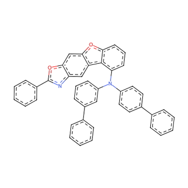 c1ccc(-c2ccc(N(c3cccc(-c4ccccc4)c3)c3cccc4oc5cc6oc(-c7ccccc7)nc6cc5c34)cc2)cc1